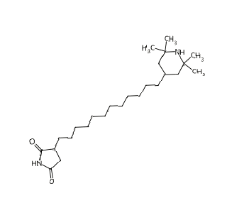 CC1(C)CC(CCCCCCCCCCCCC2CC(=O)NC2=O)CC(C)(C)N1